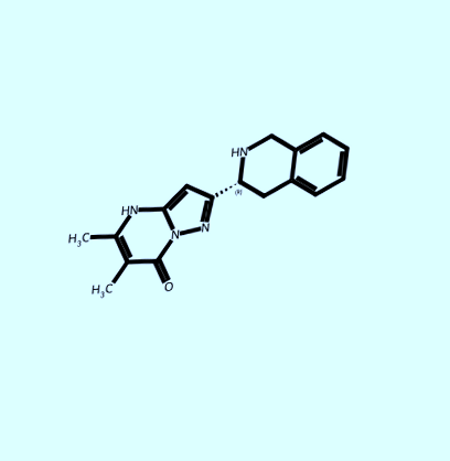 Cc1[nH]c2cc([C@H]3Cc4ccccc4CN3)nn2c(=O)c1C